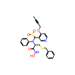 CC#CCOc1ccncc1C(N(c1ccccc1)C(CSCc1ccccc1)C(=O)NO)=S(=O)=O